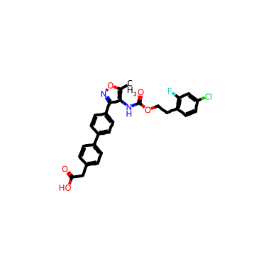 Cc1onc(-c2ccc(-c3ccc(CC(=O)O)cc3)cc2)c1NC(=O)OCCc1ccc(Cl)cc1F